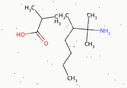 CC(C)C(=O)O.CCCCC(C)C(C)(C)N